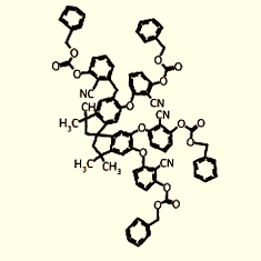 CC1(C)CC2(CC(C)(C)c3cc(Oc4cccc(OC(=O)OCc5ccccc5)c4C#N)c(Oc4cccc(OC(=O)OCc5ccccc5)c4C#N)cc32)c2cc(Oc3cccc(OC(=O)OCc4ccccc4)c3C#N)c(Cc3cccc(OC(=O)OCc4ccccc4)c3C#N)cc21